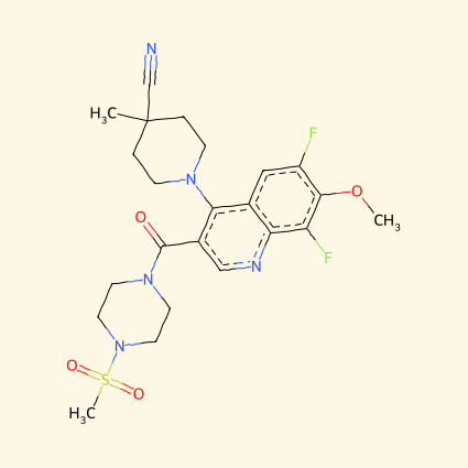 COc1c(F)cc2c(N3CCC(C)(C#N)CC3)c(C(=O)N3CCN(S(C)(=O)=O)CC3)cnc2c1F